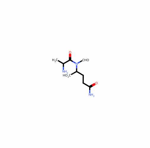 CC(N)C(=O)N(C=O)C(CCC(N)=O)C(=O)O